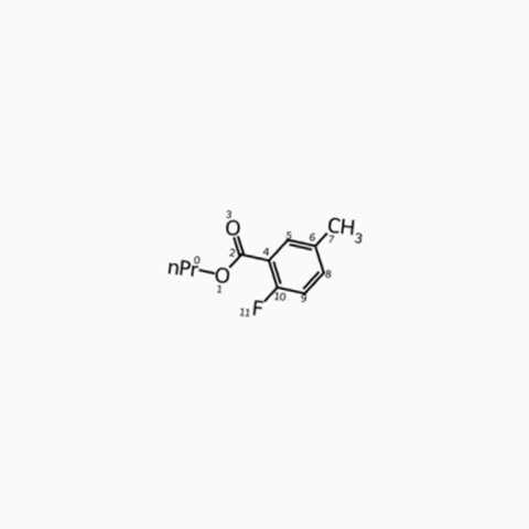 CCCOC(=O)c1cc(C)ccc1F